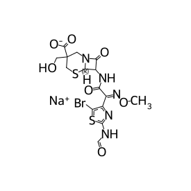 CON=C(C(=O)NC1C(=O)N2CC(CO)(C(=O)[O-])CS[C@H]12)c1nc(NC=O)sc1Br.[Na+]